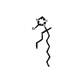 CCCCCCCC(C)(CCCC)n1ncnc1Br